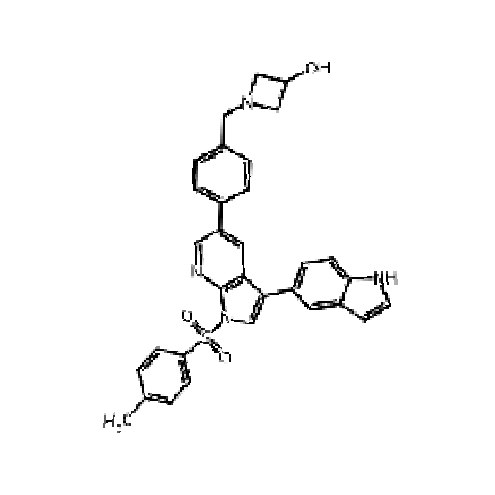 Cc1ccc(S(=O)(=O)n2cc(-c3ccc4[nH]ccc4c3)c3cc(-c4ccc(CN5CC(O)C5)cc4)cnc32)cc1